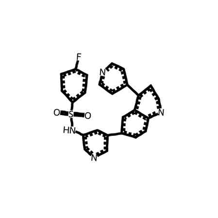 O=S(=O)(Nc1cncc(-c2ccc3nccc(-c4ccncc4)c3c2)c1)c1ccc(F)cc1